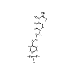 O=C(O)C(=O)c1ccc(OCCOc2ccc(C(F)(F)F)cc2)cc1